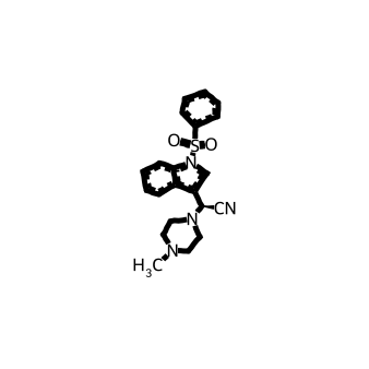 CN1CCN([C@H](C#N)c2cn(S(=O)(=O)c3ccccc3)c3ccccc23)CC1